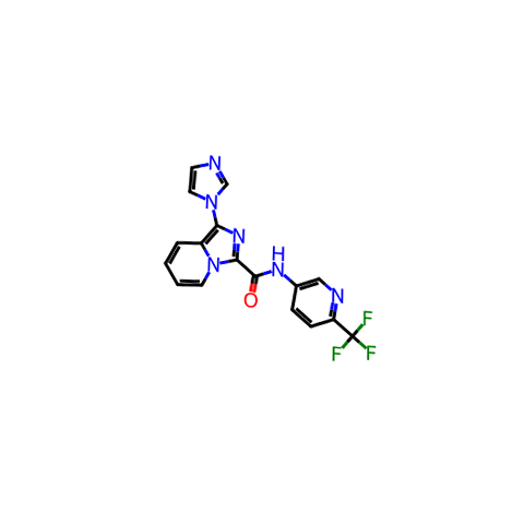 O=C(Nc1ccc(C(F)(F)F)nc1)c1nc(-n2ccnc2)c2ccccn12